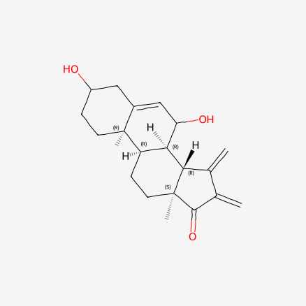 C=C1C(=C)[C@H]2[C@@H]3C(O)C=C4CC(O)CC[C@]4(C)[C@@H]3CC[C@]2(C)C1=O